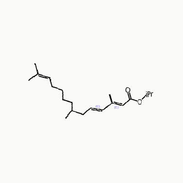 CC(C)=CCCCCC(C)C/C=C/C(C)=C/C(=O)OC(C)C